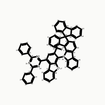 FC(F)(F)c1cc(-c2nc(-c3ccccc3)nc(-c3ccccc3)n2)c2c(oc3ccccc32)c1-n1c2ccccc2c2ccc3c(c21)-c1ccccc1C31c2ccccc2-c2ccccc21